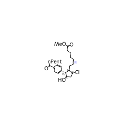 CCCCCC(=O)c1ccc([C@@H]2[C@@H](C/C=C\CCCC(=O)OC)[C@@H](Cl)C[C@H]2O)cc1